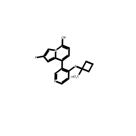 N#Cc1ccc(-c2cnccc2SC2(C(=O)O)CCC2)c2cc(F)cn12